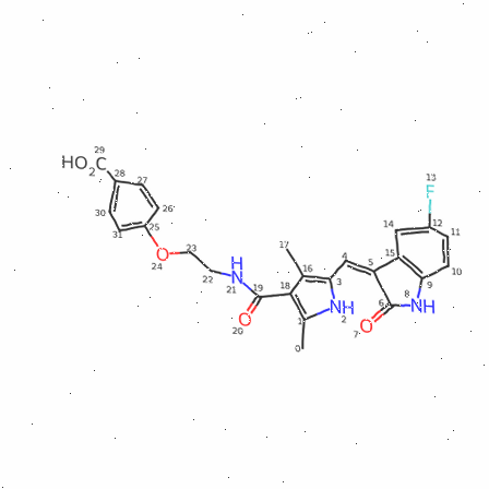 Cc1[nH]c(C=C2C(=O)Nc3ccc(F)cc32)c(C)c1C(=O)NCCOc1ccc(C(=O)O)cc1